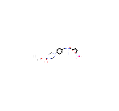 CC(C)(C)OC(=O)N1CCN(c2ccc(CNC(=O)c3ccc([N+](=O)[O-])o3)cc2)CC1